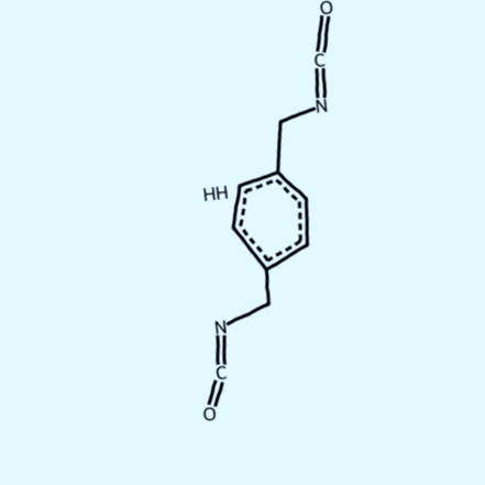 O=C=NCc1ccc(CN=C=O)cc1.[HH]